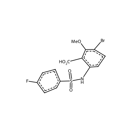 COc1c(Br)ccc(NS(=O)(=O)c2ccc(F)cc2)c1C(=O)O